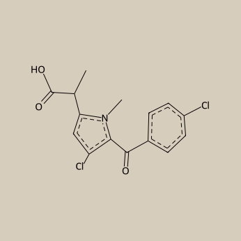 CC(C(=O)O)c1cc(Cl)c(C(=O)c2ccc(Cl)cc2)n1C